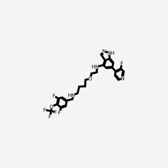 Fc1cnccc1-c1cc(NCCOCCCCNCc2cc(F)c(OC(F)(F)F)c(F)c2)c2cn[nH]c2c1